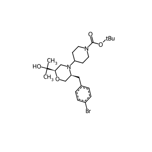 CC(C)(C)OC(=O)N1CCC(N2C[C@H](C(C)(C)O)OC[C@@H]2Cc2ccc(Br)cc2)CC1